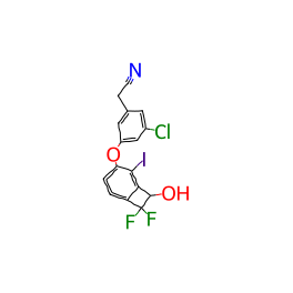 N#CCc1cc(Cl)cc(OC2=C=C=C3C(=C2I)C(O)C3(F)F)c1